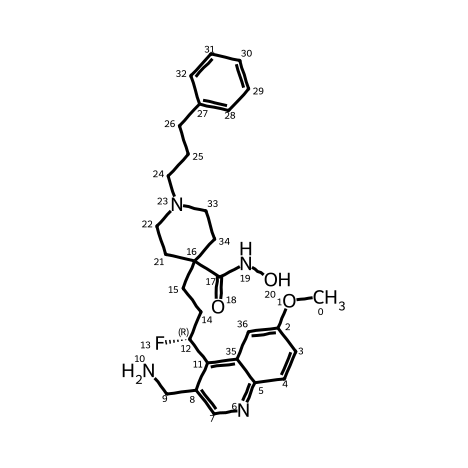 COc1ccc2ncc(CN)c([C@H](F)CCC3(C(=O)NO)CCN(CCCc4ccccc4)CC3)c2c1